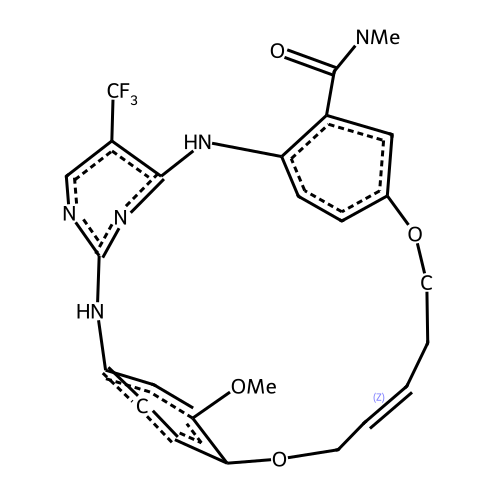 CNC(=O)c1cc2ccc1Nc1nc(ncc1C(F)(F)F)Nc1ccc(c(OC)c1)OC/C=C\CCO2